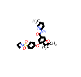 Cc1ccc(NC(=O)c2cc(Oc3ccc(S(=O)(=O)N4CCC4)cc3)c3c(c2)OC(C)(C)C3)nc1